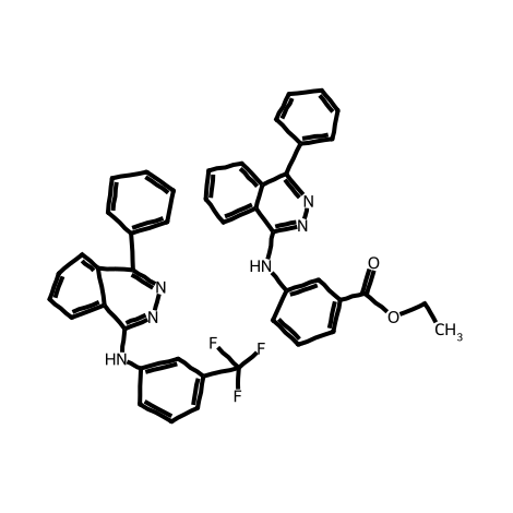 CCOC(=O)c1cccc(Nc2nnc(-c3ccccc3)c3ccccc23)c1.FC(F)(F)c1cccc(Nc2nnc(-c3ccccc3)c3ccccc23)c1